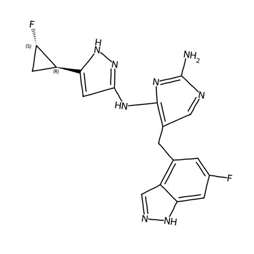 Nc1ncc(Cc2cc(F)cc3[nH]ncc23)c(Nc2cc([C@H]3C[C@@H]3F)[nH]n2)n1